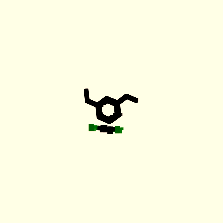 CCc1[c]ccc(CC)c1.[Br][Mg][Br]